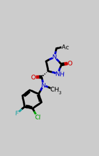 CC(=O)CN1C[C@@H](C(=O)N(C)c2ccc(F)c(Cl)c2)NC1=O